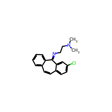 CN(C)CCN=c1c2ccccc2ccc2ccc(Cl)cc12